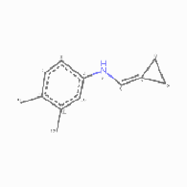 Cc1ccc(NC=C2CC2)cc1C